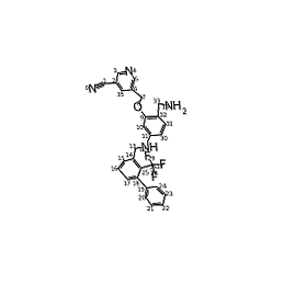 N#Cc1cncc(COc2cc(NCc3cccc(-c4ccccc4)c3C(F)(F)F)ccc2CN)c1